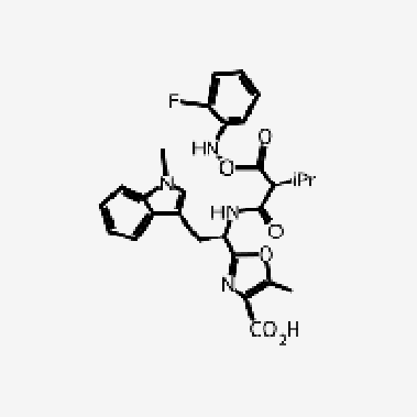 Cc1oc([C@@H](Cc2cn(C)c3ccccc23)NC(=O)[C@@H](C(=O)ONc2ccccc2F)C(C)C)nc1C(=O)O